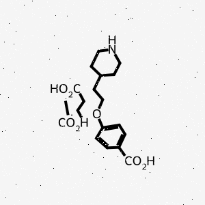 O=C(O)CCC(=O)O.O=C(O)c1ccc(OCCC2CCNCC2)cc1.[CH2]C